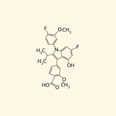 COc1cc(-n2c(C(C)C)c(-c3ccc(C(=O)O)c(OC)c3)c3c(O)cc(F)cc32)ccc1F